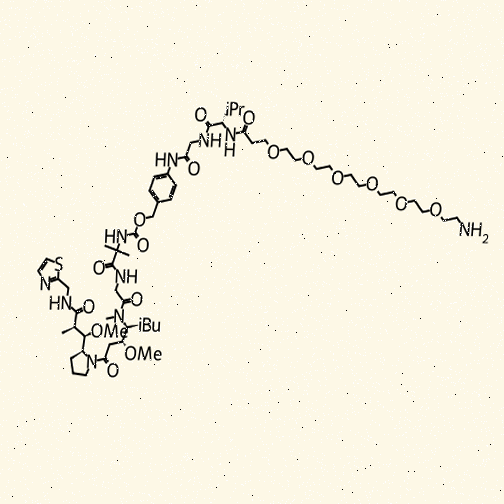 CC[C@H](C)[C@@H]([C@@H](CC(=O)N1CCC[C@H]1[C@H](OC)[C@@H](C)C(=O)NCc1nccs1)OC)N(C)C(=O)CNC(=O)C(C)(C)NC(=O)OCc1ccc(NC(=O)CNC(=O)[C@@H](NC(=O)CCOCCOCCOCCOCCOCCOCCN)C(C)C)cc1